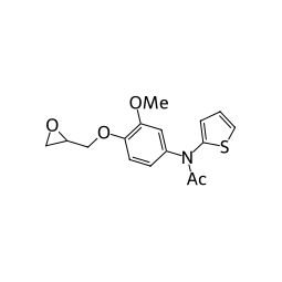 COc1cc(N(C(C)=O)c2cccs2)ccc1OCC1CO1